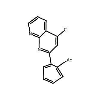 CC(=O)c1ccccc1-c1cc(Cl)c2cccnc2n1